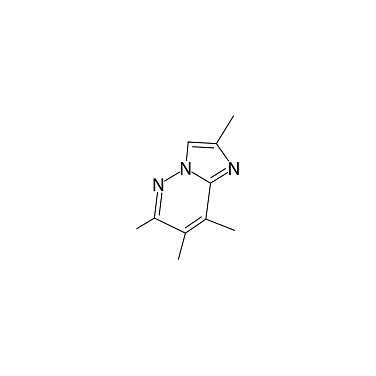 Cc1cn2nc(C)c(C)c(C)c2n1